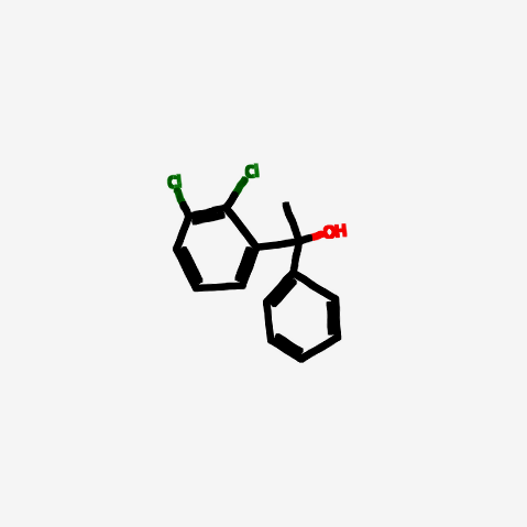 CC(O)(c1ccccc1)c1cccc(Cl)c1Cl